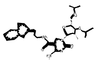 CC(C)OC[C@H]1O[C@@H](n2cc(C(=O)NCCc3ccc4ccccc4c3)c(N)nc2=O)[C@@H](C)C1OC(C)C